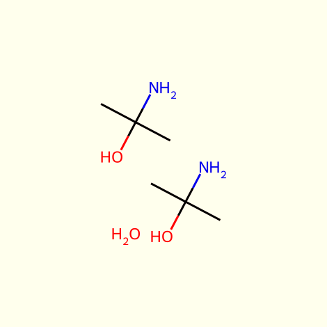 CC(C)(N)O.CC(C)(N)O.O